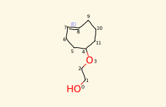 OCCOC1CC/C=C/CCC1